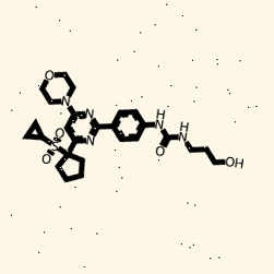 O=C(NCCCO)Nc1ccc(-c2nc(N3CCOCC3)cc(C3(S(=O)(=O)C4CC4)CCCC3)n2)cc1